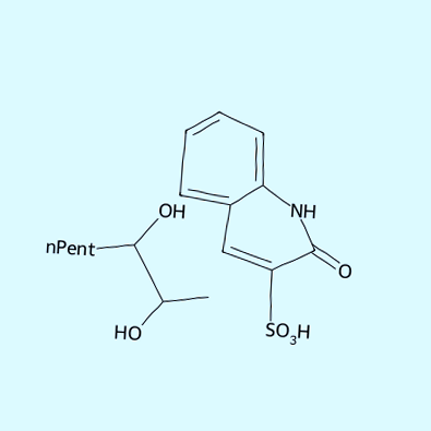 CCCCCC(O)C(C)O.O=c1[nH]c2ccccc2cc1S(=O)(=O)O